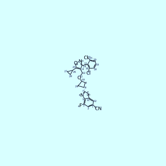 N#Cc1cc(F)c2nc([C@H]3C[C@H](OCc4c(-c5c(Cl)cccc5Cl)noc4C4CC4)C3)sc2c1